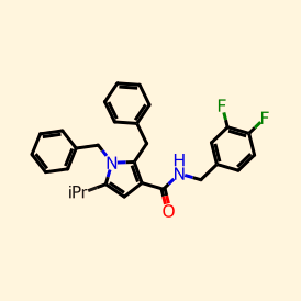 CC(C)c1cc(C(=O)NCc2ccc(F)c(F)c2)c(Cc2ccccc2)n1Cc1ccccc1